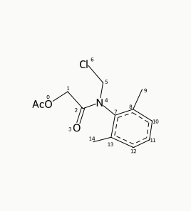 CC(=O)OCC(=O)N(CCl)c1c(C)cccc1C